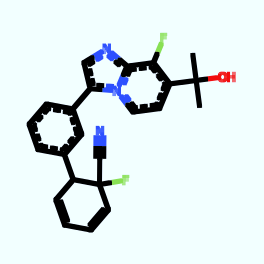 CC(C)(O)c1ccn2c(-c3cccc(C4C=CC=CC4(F)C#N)c3)cnc2c1F